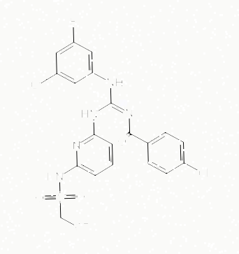 O=C(/N=C(/Nc1cc(F)cc(Cl)c1)Nc1cccc(NS(=O)(=O)CC(F)(F)F)n1)c1ccc(Cl)cc1